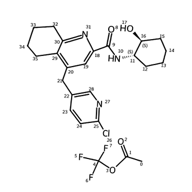 CC(=O)OC(F)(F)F.O=C(N[C@H]1CCCC[C@@H]1O)c1cc(Cc2ccc(Cl)nc2)c2c(n1)CCCC2